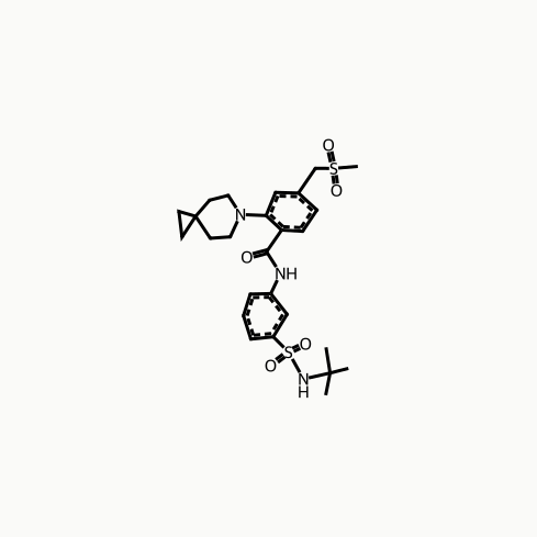 CC(C)(C)NS(=O)(=O)c1cccc(NC(=O)c2ccc(CS(C)(=O)=O)cc2N2CCC3(CC2)CC3)c1